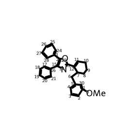 COc1cccc(CC2CCCC=C2c2nc(-c3ccccc3)c(-c3ccccc3)o2)c1